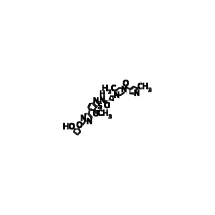 COc1c(-c2cnc(CO[C@H]3CCC[C@@H]3O)nc2)ccc2nc(NC(=O)[C@H]3C[C@@H](N4CCN(C(=O)c5ccnc(C)c5)C[C@@H]4C)C3)sc12